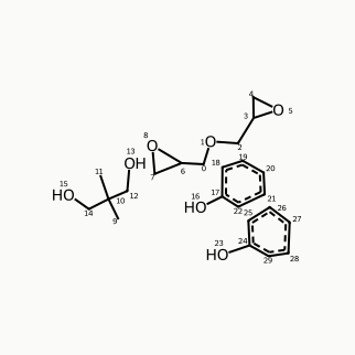 C(OCC1CO1)C1CO1.CC(C)(CO)CO.Oc1ccccc1.Oc1ccccc1